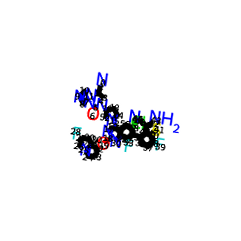 N#CCCN(C(=O)n1cncn1)C1CCN(c2nc(OC[C@@]34CCCN3C[C@H](F)C4)nc3c(F)c(-c4ccc(F)c5sc(N)c(C#N)c45)c(Cl)cc23)C1